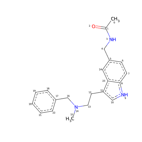 CC(=O)NCc1ccc2[nH]cc(CCN(C)Cc3ccccc3)c2c1